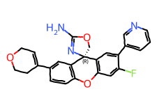 NC1=N[C@]2(CO1)c1cc(C3=CCOCC3)ccc1Oc1cc(F)c(-c3cccnc3)cc12